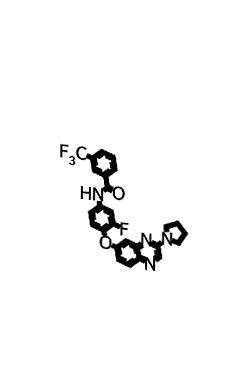 O=C(Nc1ccc(Oc2ccc3ncc(N4CCCC4)nc3c2)c(F)c1)c1cccc(C(F)(F)F)c1